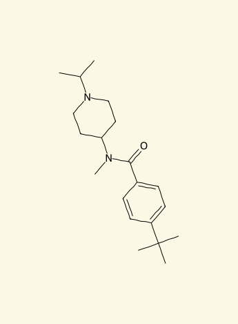 CC(C)N1CCC(N(C)C(=O)c2ccc(C(C)(C)C)cc2)CC1